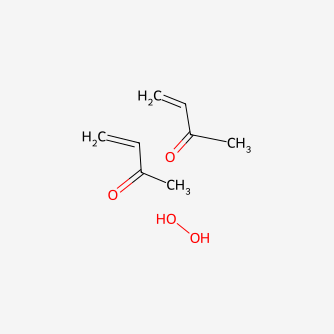 C=CC(C)=O.C=CC(C)=O.OO